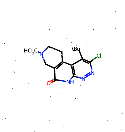 CC(C)(C)c1c(Cl)nnc2[nH]c(=O)c3c(c12)CCN(C(=O)O)C3